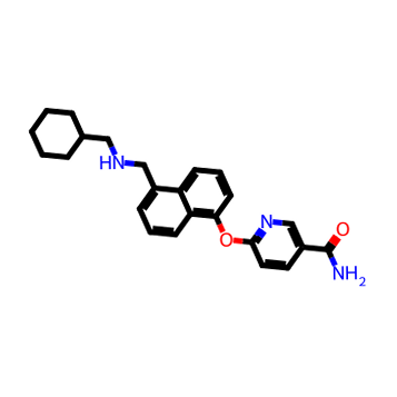 NC(=O)c1ccc(Oc2cccc3c(CNCC4CCCCC4)cccc23)nc1